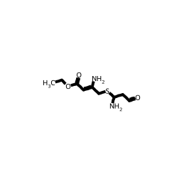 CCOC(=O)C=C(N)CSC(N)CC=O